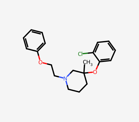 CC1(Oc2ccccc2Cl)CCCN(CCOc2ccccc2)C1